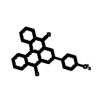 O=c1c2ccccc2n2c3ccccc3c(=O)c3cc(-c4ccc(C(F)(F)F)cc4)cc1c32